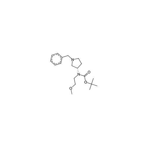 COCCN(C(=O)OC(C)(C)C)[C@H]1CCN(Cc2ccccc2)C1